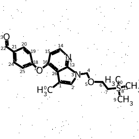 Cc1cn(COCCS(C)(C)C)c2nccc(Oc3ccc(C=O)cc3)c12